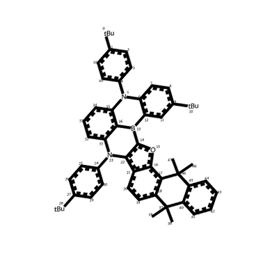 CC(C)(C)c1ccc(N2c3ccc(C(C)(C)C)cc3B3c4oc5c6c(ccc5c4N(c4ccc(C(C)(C)C)cc4)c4cccc2c43)C(C)(C)c2ccccc2C6(C)C)cc1